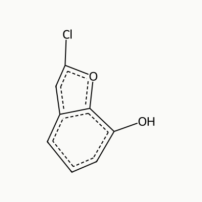 Oc1cccc2cc(Cl)oc12